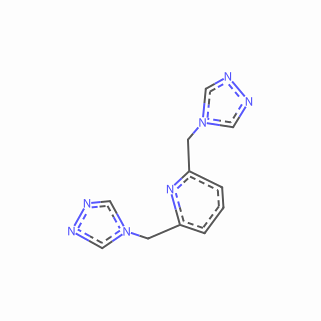 c1cc(Cn2cnnc2)nc(Cn2cnnc2)c1